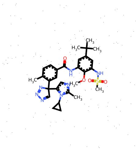 COc1c(NC(=O)c2ccc(C)c(C3(c4cnc(C)n4C4CC4)C=NN=N3)c2)cc(C(C)(C)C)cc1NS(C)(=O)=O